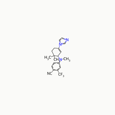 CN(c1ccc(C#N)c(C(F)(F)F)c1)C1C=C(n2ccnc2)CCC1(C)C